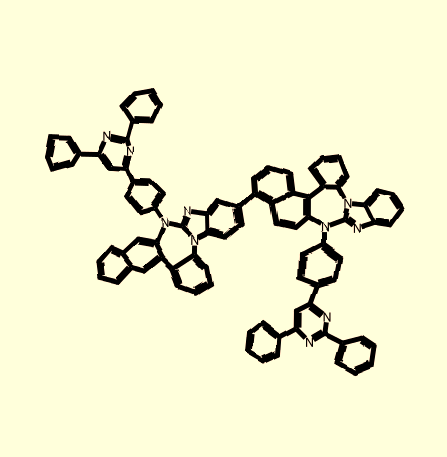 c1ccc(-c2cc(-c3ccc(N4c5cc6ccccc6cc5-c5ccccc5-n5c4nc4cc(-c6cccc7c8c(ccc67)N(c6ccc(-c7cc(-c9ccccc9)nc(-c9ccccc9)n7)cc6)c6nc7ccccc7n6-c6ccccc6-8)ccc45)cc3)nc(-c3ccccc3)n2)cc1